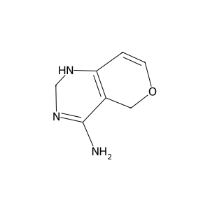 NC1=NCNC2=C1COC=C2